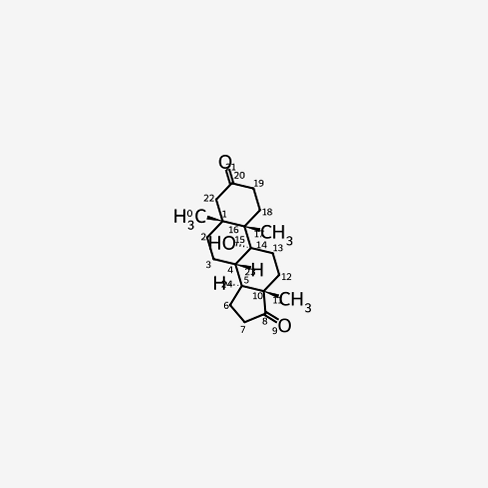 C[C@]12CC[C@H]3[C@@H]4CCC(=O)[C@@]4(C)CC[C@]3(O)[C@@]1(C)CCC(=O)C2